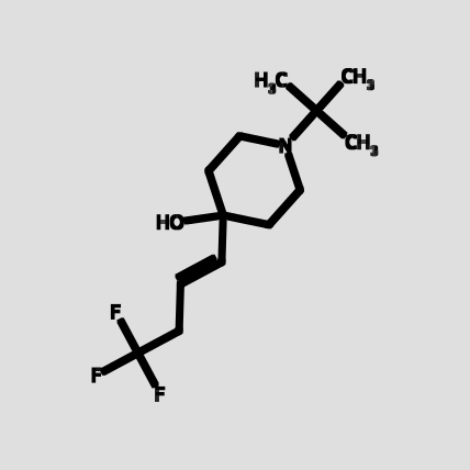 CC(C)(C)N1CCC(O)(C=CCC(F)(F)F)CC1